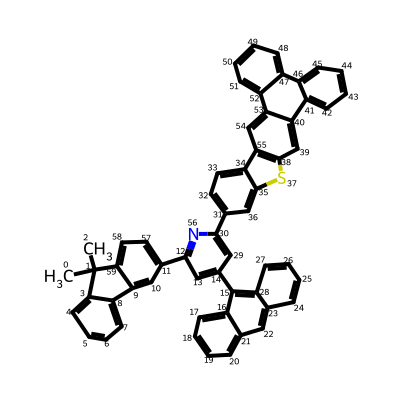 CC1(C)c2ccccc2-c2cc(-c3cc(-c4c5ccccc5cc5ccccc45)cc(-c4ccc5c(c4)sc4cc6c7ccccc7c7ccccc7c6cc45)n3)ccc21